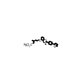 CC(CCCOc1ccccc1CN(C)C(=O)c1ccc(-c2ccco2)cc1)CC(=O)O